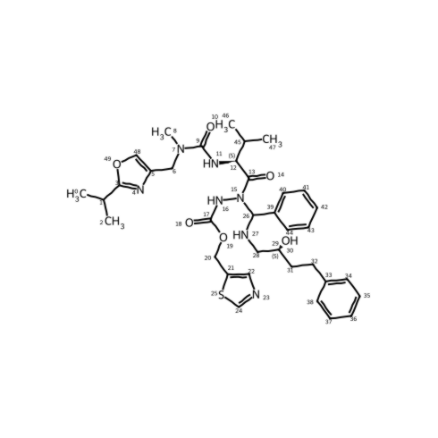 CC(C)c1nc(CN(C)C(=O)N[C@H](C(=O)N(NC(=O)OCc2cncs2)C(NC[C@@H](O)CCc2ccccc2)c2ccccc2)C(C)C)co1